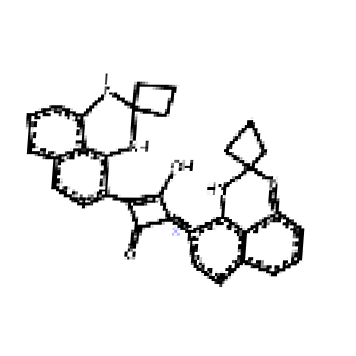 O=C1C(c2ccc3cccc4c3c2NC2(CCC2)N4)=C(O)/C1=c1/ccc2cccc3c2c1NC1(CCC1)N=3